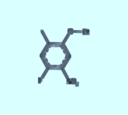 CCOc1cc([N+](=O)[O-])c(F)cc1C